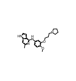 COc1ccc(Nc2nc(C)cc3[nH]ccc23)cc1OCCCN1CCCC1